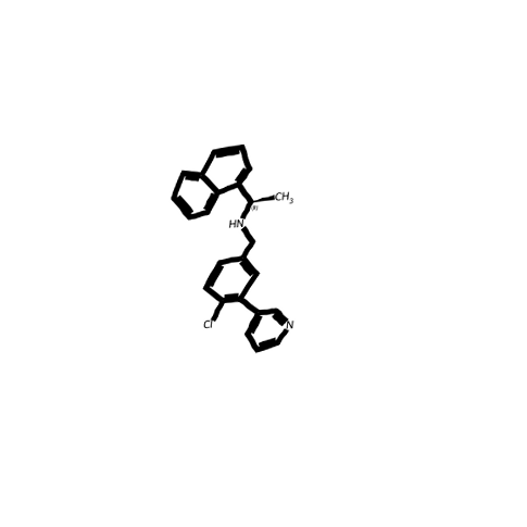 C[C@@H](NCc1ccc(Cl)c(-c2cccnc2)c1)c1cccc2ccccc12